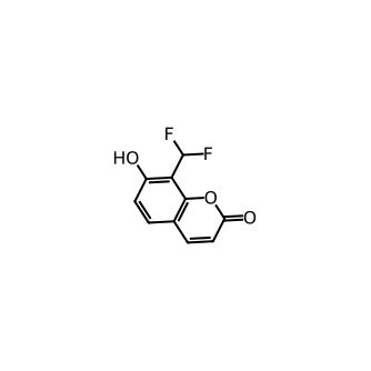 O=c1ccc2ccc(O)c(C(F)F)c2o1